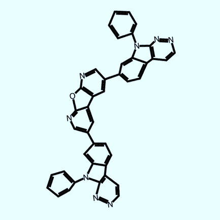 c1ccc(-n2c3cc(-c4cnc5oc6ncc(-c7ccc8c9ccnnc9n(-c9ccccc9)c8c7)cc6c5c4)ccc3c3ccnnc32)cc1